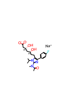 CC(=O)N(C)c1nc(-c2ccc(F)cc2)c(CC[C@@H](O)C[C@@H](O)CC(=O)[O-])n1C(C)C.[Na+]